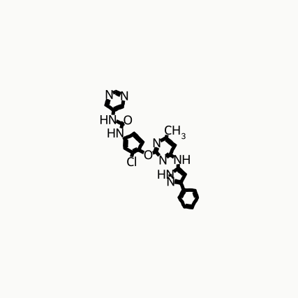 Cc1cc(Nc2cc(-c3ccccc3)n[nH]2)nc(Oc2ccc(NC(=O)Nc3cncnc3)cc2Cl)n1